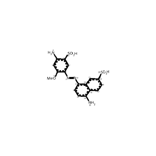 COc1cc(N)c(S(=O)(=O)O)cc1/N=N/c1ccc(N)c2ccc(S(=O)(=O)O)cc12